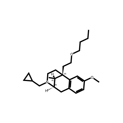 CCCCOCC[C@@]12CCN(CC3CC3)[C@H](Cc3ccc(OC)cc31)[C@@H]2C